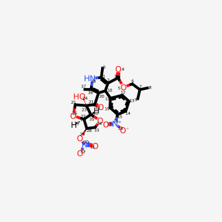 CC1=C(C(=O)OCC(C)C)C(c2cccc([N+](=O)[O-])c2)C(C(=O)[C@]2(O)CO[C@@H]3[C@H](O[N+](=O)[O-])CO[C@@H]32)=C(C)N1